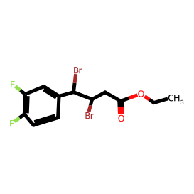 CCOC(=O)CC(Br)C(Br)c1ccc(F)c(F)c1